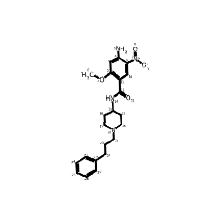 COc1cc(N)c([N+](=O)[O-])cc1C(=O)NC1CCN(CCCc2ccccc2)CC1